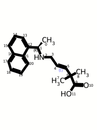 C[C@@H](NC/C=C/C(C)(C)C(=O)O)c1cccc2ccccc12